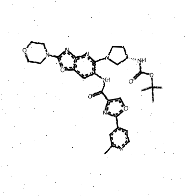 Cc1cc(-c2nc(C(=O)Nc3cc4oc(N5CCOCC5)nc4nc3N3CC[C@H](NC(=O)OC(C)(C)C)C3)co2)ccn1